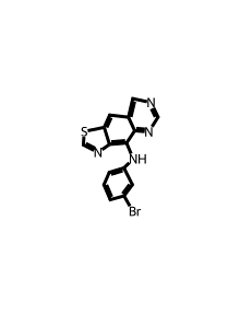 Brc1cccc(Nc2c3ncncc3cc3scnc23)c1